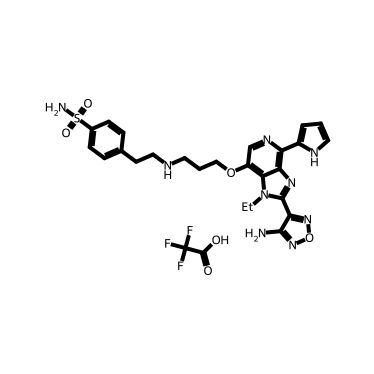 CCn1c(-c2nonc2N)nc2c(-c3ccc[nH]3)ncc(OCCCNCCc3ccc(S(N)(=O)=O)cc3)c21.O=C(O)C(F)(F)F